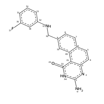 Nc1nc2ccc3ccc(CNc4cccc(F)c4)cc3c2c(=O)[nH]1